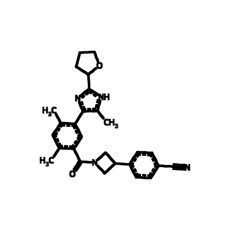 Cc1cc(C)c(-c2nc(C3CCCO3)[nH]c2C)cc1C(=O)N1CC(c2ccc(C#N)cc2)C1